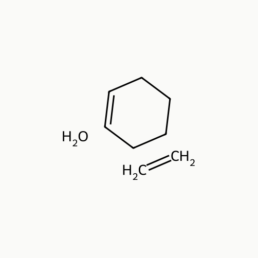 C1=CCCCC1.C=C.O